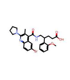 COc1ccccc1C(CCC(=O)O)CNC(=O)c1c(C)c(N2CCCC2)nc2ccc(Br)cc12